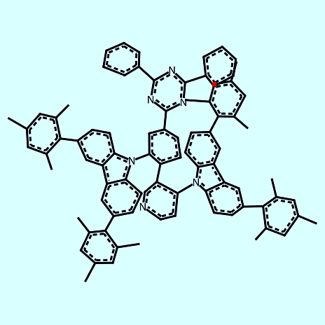 Cc1cc(C)c(-c2ccc3c(c2)c2cc(-c4c(C)cc(C)cc4C)ccc2n3-c2ccncc2-c2ccc(-c3nc(-c4ccccc4)nc(-c4ccccc4)n3)cc2-n2c3ccc(-c4c(C)cc(C)cc4C)cc3c3cc(-c4c(C)cc(C)cc4C)ccc32)c(C)c1